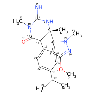 COc1cc([C@@]2(C)NC(=N)N(C)C(=O)C2c2ccc(C(C)C)cc2)n(C)n1